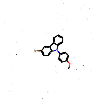 COc1ccc(-n2c3ccccc3c3cc(Br)ccc32)cc1